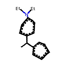 CCN(CC)c1ccc(C(C)c2ccccc2)cc1